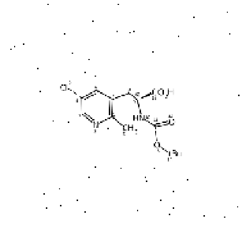 Cc1ncc(Cl)cc1C[C@H](NC(=O)OC(C)(C)C)C(=O)O